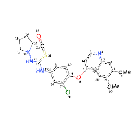 COc1cc2nccc(Oc3ccc(NC(NN4CCCC4)=S=C=O)cc3Cl)c2cc1OC